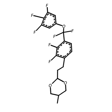 CC1COC(CCc2ccc(C(F)(F)Oc3cc(F)c(F)c(F)c3)c(F)c2F)OC1